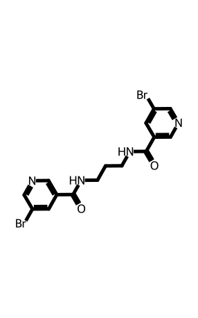 O=C(NCCCNC(=O)c1cncc(Br)c1)c1cncc(Br)c1